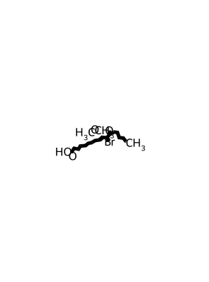 CCCCCC1OC1C(Br)C=CCCCCCCCC(=O)O.COC